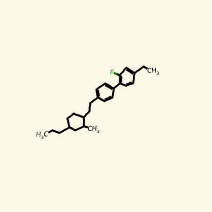 CCCC1CCC(CCc2ccc(-c3ccc(CC)cc3F)cc2)C(C)C1